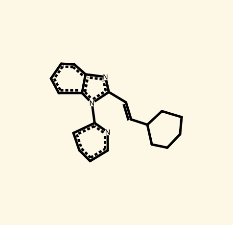 C(=CC1CCCCC1)c1nc2ccccc2n1-c1ccccn1